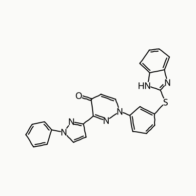 O=c1ccn(-c2cccc(Sc3nc4ccccc4[nH]3)c2)nc1-c1ccn(-c2ccccc2)n1